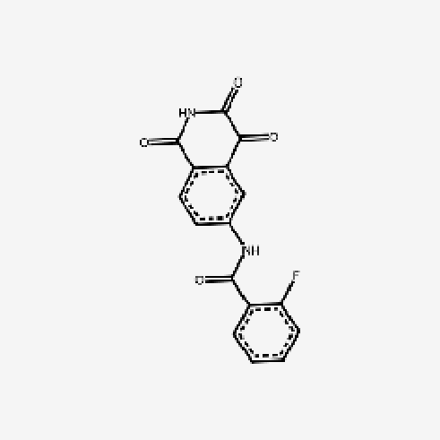 O=C1NC(=O)c2ccc(NC(=O)c3ccccc3F)cc2C1=O